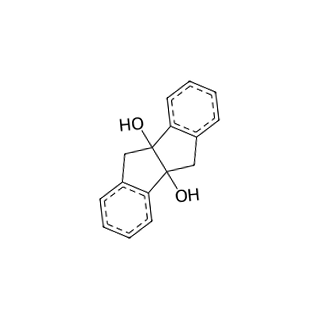 OC12Cc3ccccc3C1(O)Cc1ccccc12